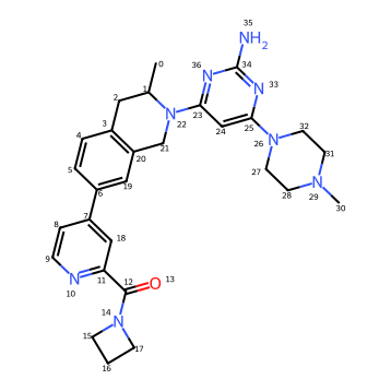 CC1Cc2ccc(-c3ccnc(C(=O)N4CCC4)c3)cc2CN1c1cc(N2CCN(C)CC2)nc(N)n1